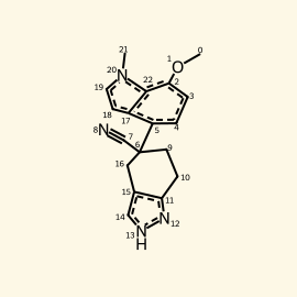 COc1ccc(C2(C#N)CCc3n[nH]cc3C2)c2ccn(C)c12